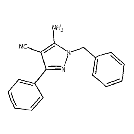 N#Cc1c(-c2ccccc2)nn(Cc2ccccc2)c1N